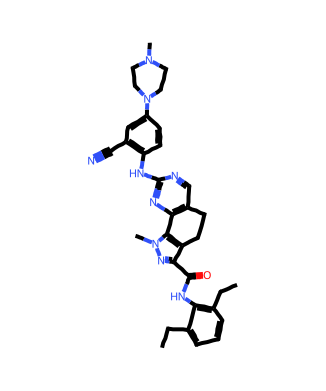 CCc1cccc(CC)c1NC(=O)c1nn(C)c2c1CCc1cnc(Nc3ccc(N4CCN(C)CC4)cc3C#N)nc1-2